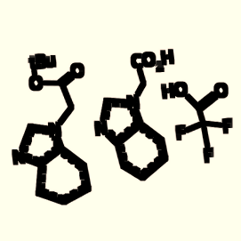 CC(C)(C)OC(=O)Cn1cnc2ccccc21.O=C(O)C(F)(F)F.O=C(O)Cn1cnc2ccccc21